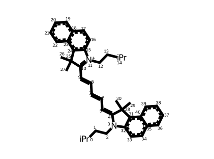 CC(C)CCN1/C(=C/C=C/C=C/C2=[N+](CCC(C)C)c3ccc4ccccc4c3C2(C)C)C(C)(C)c2c1ccc1ccccc21